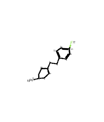 CCCC1CCC(CCc2ccc(F)cc2)C1